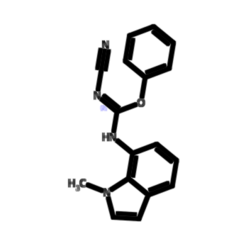 Cn1ccc2cccc(N/C(=N/C#N)Oc3ccccc3)c21